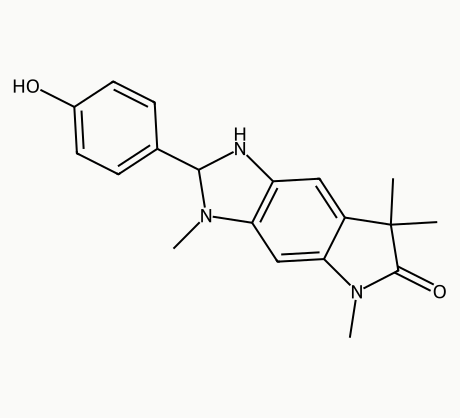 CN1C(=O)C(C)(C)c2cc3c(cc21)N(C)C(c1ccc(O)cc1)N3